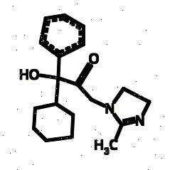 CC1=NCCN1CC(=O)C(O)(c1ccccc1)C1CCCCC1